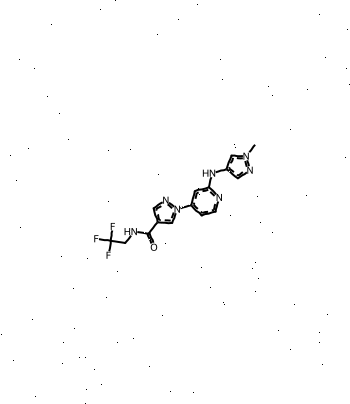 Cn1cc(Nc2cc(-n3cc(C(=O)NCC(F)(F)F)cn3)ccn2)cn1